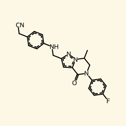 CC1CN(c2ccc(F)cc2)C(=O)c2cc(CNc3ccc(CC#N)cc3)nn21